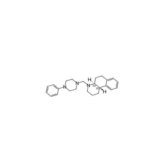 c1ccc(N2CCN(CN3CCC[C@H]4c5ccccc5CC[C@@H]43)CC2)cc1